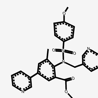 COC(=O)c1cc(-c2cccnc2)cc(C)c1N(Cc1cccnc1)S(=O)(=O)c1ccc(OC)cc1